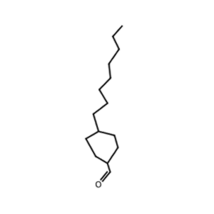 CCCCCCCCC1CCC(C=O)CC1